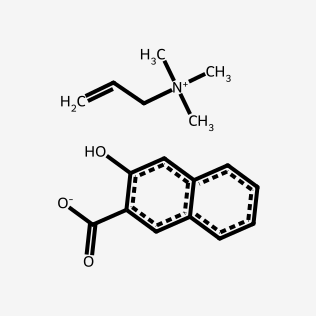 C=CC[N+](C)(C)C.O=C([O-])c1cc2ccccc2cc1O